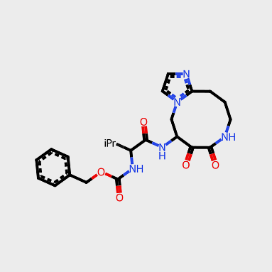 CC(C)C(NC(=O)OCc1ccccc1)C(=O)NC1Cn2ccnc2CCCNC(=O)C1=O